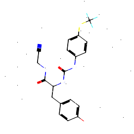 N#CCNC(=O)C(Cc1ccc(O)cc1)NC(=O)Nc1ccc(SC(F)(F)F)cc1